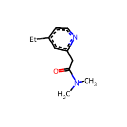 CCc1ccnc(CC(=O)N(C)C)c1